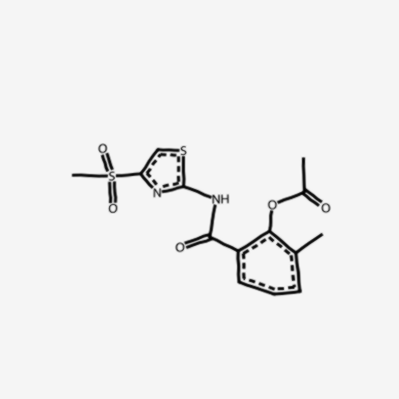 CC(=O)Oc1c(C)cccc1C(=O)Nc1nc(S(C)(=O)=O)cs1